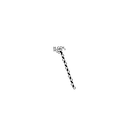 CC(C)(C)OC(=O)CCOCCOCCOCCOCCOCCOCCOCCOCC=O